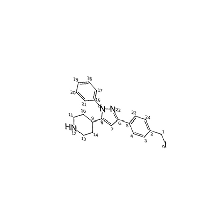 ICc1ccc(-c2cc(C3CCNCC3)n(-c3ccccc3)n2)cc1